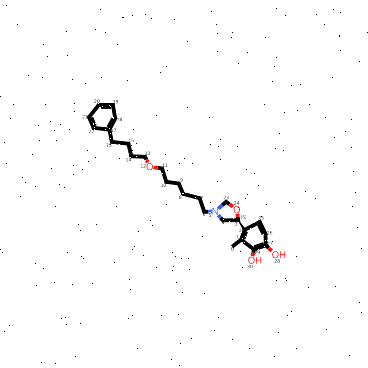 Cc1c([C@H]2CN(CCCCCCOCCCCc3ccccc3)CO2)ccc(O)c1O